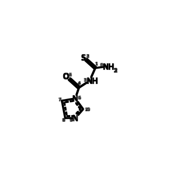 NC(=S)NC(=O)n1ccnc1